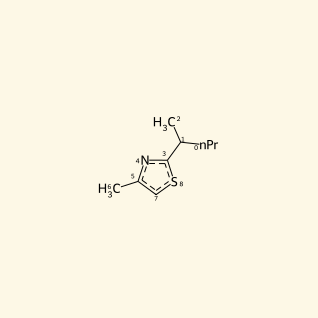 CCCC(C)c1nc(C)cs1